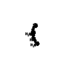 COc1cc(OCCc2ccccn2)ccc1C=Cc1cc(C=Cc2cccn2C)[nH]n1